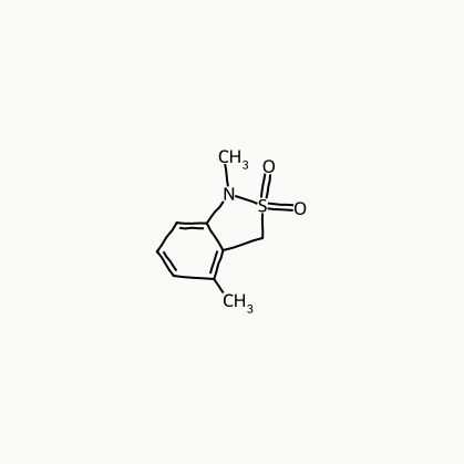 Cc1cccc2c1CS(=O)(=O)N2C